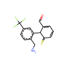 NCc1ccc(C(F)(F)F)cc1C1C(=S)C=CC=C1C=O